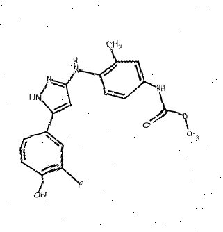 COC(=O)Nc1ccc(Nc2cc(-c3ccc(O)c(F)c3)[nH]n2)c(C)c1